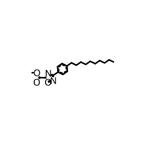 CCCCCCCCCCc1ccc(-c2noc(C(=O)OC)n2)cc1